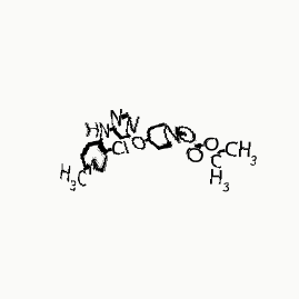 Cc1ccc(Nc2cc(OC3CCN(OC(=O)OC(C)C)CC3)ncn2)c(Cl)n1